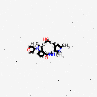 CCN(c1cccc2c1CCCC(O)CCc1cc(C)nc(C)c1CNC2=O)C1CCOCC1